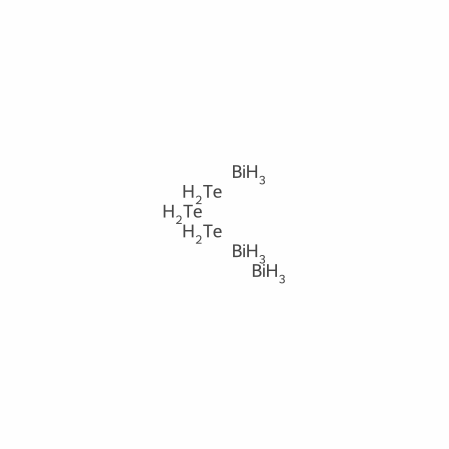 [BiH3].[BiH3].[BiH3].[TeH2].[TeH2].[TeH2]